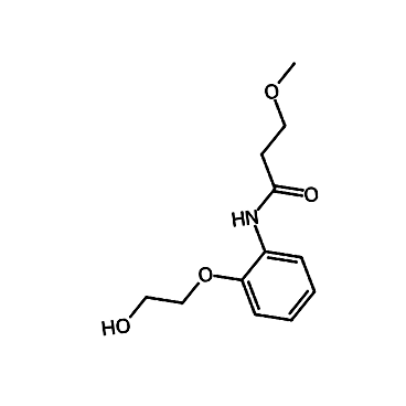 COCCC(=O)Nc1ccccc1OCCO